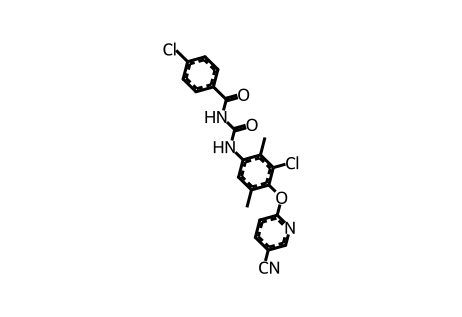 Cc1cc(NC(=O)NC(=O)c2ccc(Cl)cc2)c(C)c(Cl)c1Oc1ccc(C#N)cn1